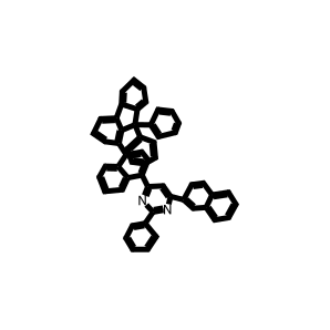 c1ccc(-c2nc(-c3ccc4ccccc4c3)cc(-c3ccc(-c4cccc5c4C(c4ccccc4)(c4ccccc4)c4ccccc4-5)c4ccccc34)n2)cc1